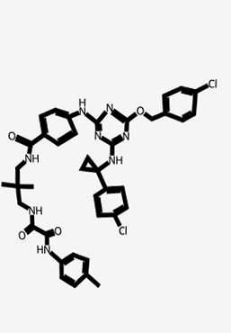 Cc1ccc(NC(=O)C(=O)NCC(C)(C)CNC(=O)c2ccc(Nc3nc(NC4(c5ccc(Cl)cc5)CC4)nc(OCc4ccc(Cl)cc4)n3)cc2)cc1